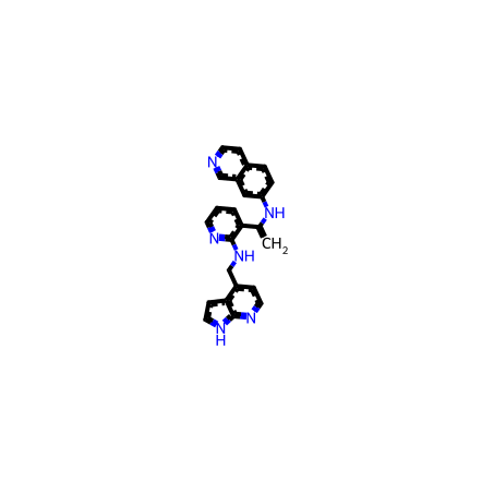 C=C(Nc1ccc2ccncc2c1)c1cccnc1NCc1ccnc2[nH]ccc12